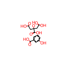 O=C(O)CC(O)(CC(=O)O)C(=O)O.O=C(O)c1cccc(O)c1